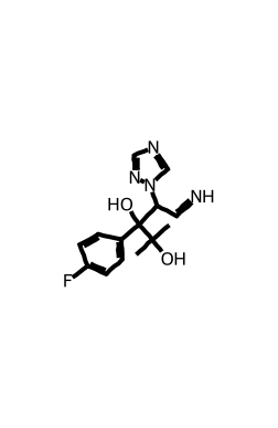 CC(C)(O)C(O)(c1ccc(F)cc1)C(C=N)n1cncn1